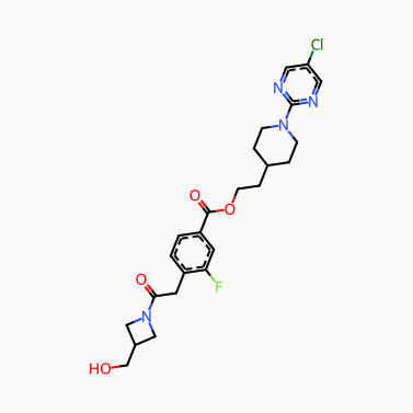 O=C(OCCC1CCN(c2ncc(Cl)cn2)CC1)c1ccc(CC(=O)N2CC(CO)C2)c(F)c1